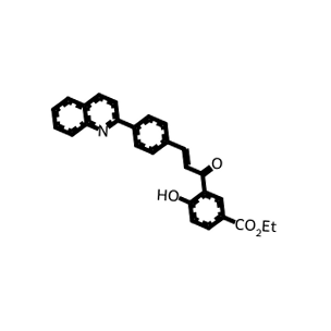 CCOC(=O)c1ccc(O)c(C(=O)C=Cc2ccc(-c3ccc4ccccc4n3)cc2)c1